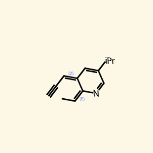 C#C/C=c1/cc(C(C)C)cn/c1=C/C